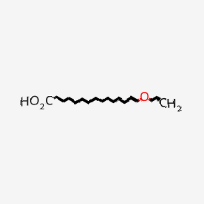 C=CCOCCCCCCCCCCCCCCC(=O)O